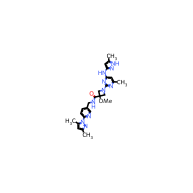 COC1(C(=O)NCc2ccc(-n3nc(C)cc3C)nc2)CN(c2nc(C)cc(Nc3cc(C)[nH]n3)n2)C1